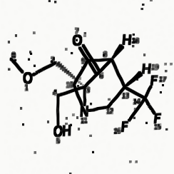 COC[C@]1(CO)C(=O)[C@@H]2CCN1C[C@H]2C(F)(F)F